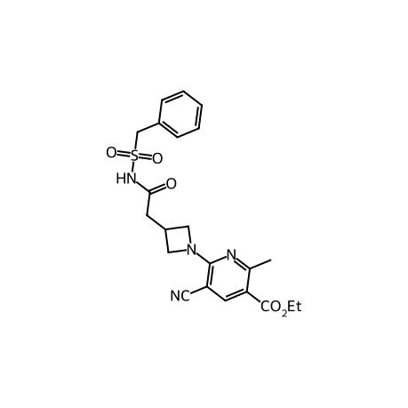 CCOC(=O)c1cc(C#N)c(N2CC(CC(=O)NS(=O)(=O)Cc3ccccc3)C2)nc1C